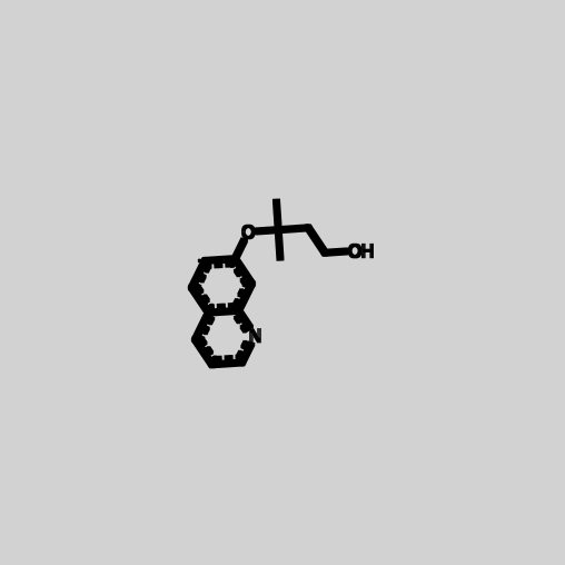 CC(C)(CCO)Oc1[c]cc2cccnc2c1